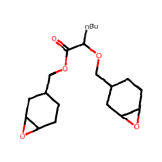 CCCCC(OCC1CCC2OC2C1)C(=O)OCC1CCC2OC2C1